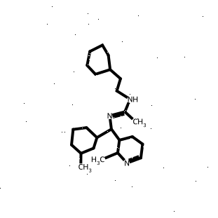 C/C(=N\C(C1CCCC(C)C1)C1CCC=NC1C)NCCC1CCCCC1